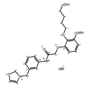 Br.CCCCCCCCCCCCCCOc1c(OC)cccc1OCC(=O)Nc1cccc(CN2C=CSC2)c1